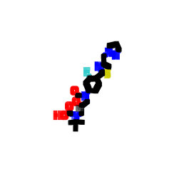 CC(C)(C)N(C[C@H]1CN(c2ccc(-c3nc(Cn4cccn4)cs3)c(F)c2)C(=O)O1)C(=O)O